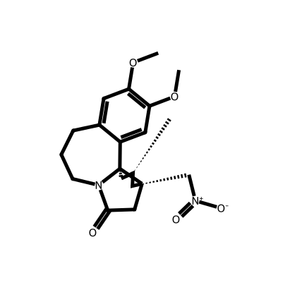 COc1cc2c(cc1OC)[C@@]13C[C@H](C)[C@@H](C[N+](=O)[O-])C1CC(=O)N3CCC2